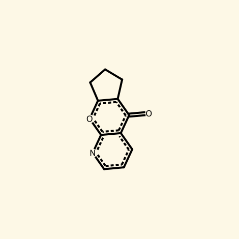 O=c1c2c(oc3ncccc13)CCC2